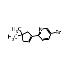 CC1(C)CC=C(c2ccc(Br)cn2)C1